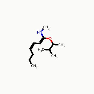 CCC/C=C\C=C(/NC)OC(C)C(C)C